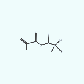 C=C(C)C(=O)OC(C)[N+](CC)(CC)CC